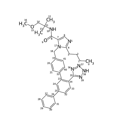 CCCCc1ncc(C(=O)NC(C)(C)COC)n1Cc1ccc(-c2cc(-c3ccccc3)ccc2-c2nn[nH]n2)cc1